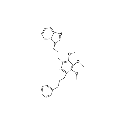 COc1c(CCCc2ccccc2)[c]c(CCCn2cnc3ccccc32)c(OC)c1OC